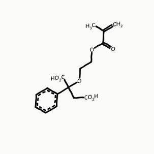 C=C(C)C(=O)OCCOC(CC(=O)O)(C(=O)O)c1ccccc1